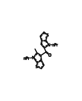 CCCn1c(C(=O)c2c(C)n(CCC)c3sccc23)cc2ccsc21